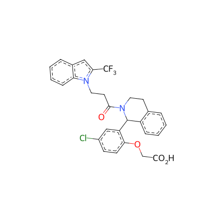 O=C(O)COc1ccc(Cl)cc1C1c2ccccc2CCN1C(=O)CCn1c(C(F)(F)F)cc2ccccc21